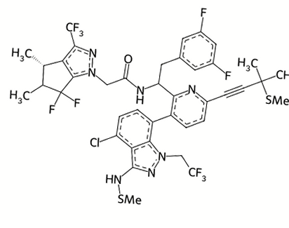 CSNc1nn(CC(F)(F)F)c2c(-c3ccc(C#CC(C)(C)SC)nc3C(Cc3cc(F)cc(F)c3)NC(=O)Cn3nc(C(F)(F)F)c4c3C(F)(F)C(C)[C@@H]4C)ccc(Cl)c12